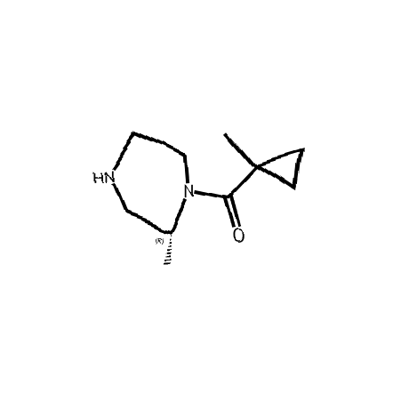 C[C@@H]1CNCCN1C(=O)C1(C)CC1